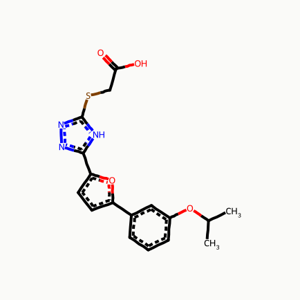 CC(C)Oc1cccc(-c2ccc(-c3nnc(SCC(=O)O)[nH]3)o2)c1